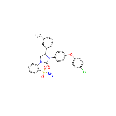 NS(=O)(=O)c1ccccc1N1CC(c2cccc(C(F)(F)F)c2)N(c2ccc(Oc3ccc(Cl)cc3)cc2)C1=O